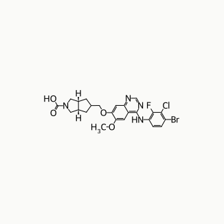 COc1cc2c(Nc3ccc(Br)c(Cl)c3F)ncnc2cc1OCC1C[C@@H]2CN(C(=O)O)C[C@@H]2C1